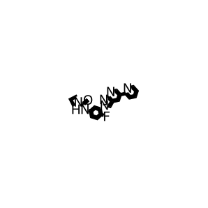 O=C(Nc1ccc(F)c(-n2cc3cc(-c4ccccn4)cnc3n2)c1)N1CCC1